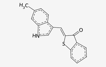 Cc1ccc2c(/C=C3\Sc4ccccc4C3=O)c[nH]c2c1